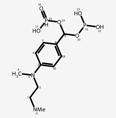 CNCCN(C)c1ccc(C(OP(O)O)O[PH](=O)O)cc1